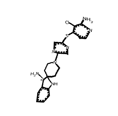 Nc1nccc(Sc2cnc(N3CCC4(CC3)Nc3ccccc3[C@H]4N)cn2)c1Cl